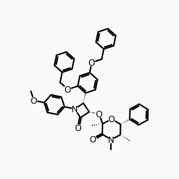 COc1ccc(N2C(=O)[C@@H](O[C@@]3(C)O[C@H](c4ccccc4)[C@H](C)N(C)C3=O)[C@H]2c2ccc(OCc3ccccc3)cc2OCc2ccccc2)cc1